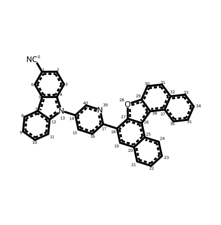 N#Cc1ccc2c(c1)c1ccccc1n2-c1ccc(-c2cc3ccccc3c3c2oc2ccc4ccccc4c23)nc1